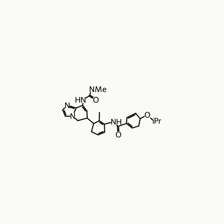 CNC(=O)NC1=CC(C2CC=CC(NC(=O)C3=CCC(OC(C)C)C=C3)=C2C)Cn2ccnc21